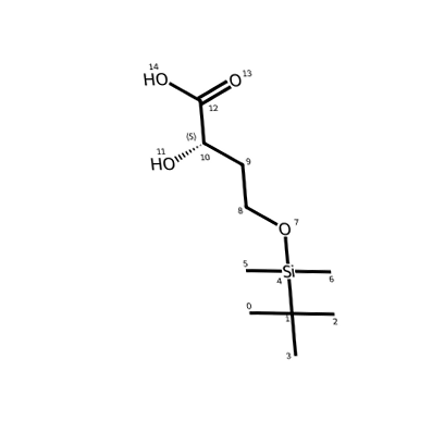 CC(C)(C)[Si](C)(C)OCC[C@H](O)C(=O)O